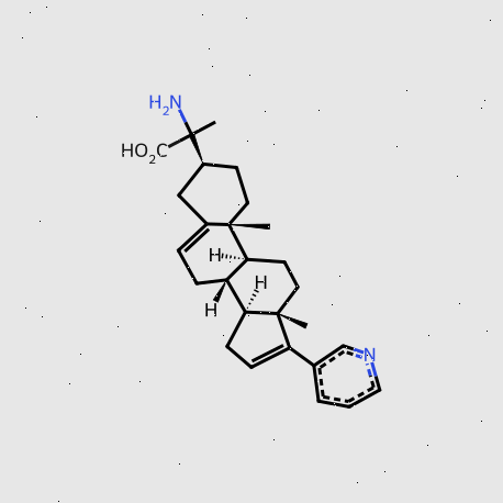 CC(N)(C(=O)O)[C@H]1CC[C@@]2(C)C(=CC[C@@H]3[C@@H]2CC[C@]2(C)C(c4cccnc4)=CC[C@@H]32)C1